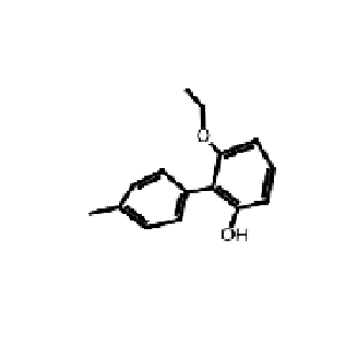 CCOc1cccc(O)c1-c1ccc(C)cc1